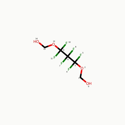 OCOC(F)(F)C(F)(F)C(F)(F)OCO